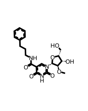 CO[C@@H]1[C@@H](O)[C@@H](CO)O[C@H]1n1cc(C(=O)NCCCc2ccccc2)c(=O)[nH]c1=O